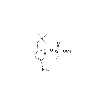 COS(=O)(=O)[O-].C[N+](C)(C)Cc1ccc(N)cc1